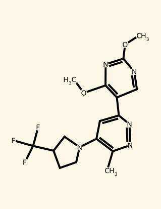 COc1ncc(-c2cc(N3CCC(C(F)(F)F)C3)c(C)nn2)c(OC)n1